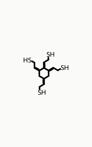 SCC=C1CC(=CCS)C(=CCS)C(=CCS)C1